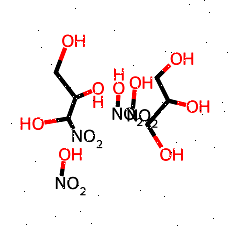 O=[N+]([O-])C(O)C(O)CO.O=[N+]([O-])O.O=[N+]([O-])O.O=[N+]([O-])O.OCC(O)CO